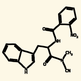 CN(C#N)C(=O)C(Cc1c[nH]c2ccccc12)NC(=O)c1ccccc1[N+](=O)[O-]